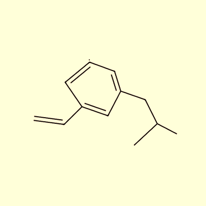 C=Cc1c[c]cc(CC(C)C)c1